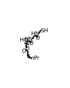 CCCC=C=CCC(=O)OCC(C)(C)[C@H](O)C(=O)NCCC(=O)NCCS